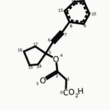 O=C(O)CC(=O)OC1(C#Cc2ccccc2)CCCC1